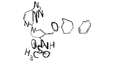 CS(=O)(=O)NC1CCN(c2nccc3ncnn23)CC1CO[C@H]1CC[C@@H](c2ccccc2)CC1